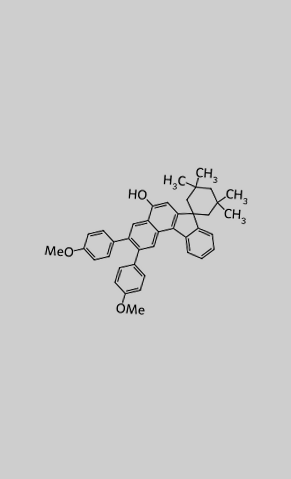 COc1ccc(-c2cc3c(O)cc4c(c3cc2-c2ccc(OC)cc2)-c2ccccc2C42CC(C)(C)CC(C)(C)C2)cc1